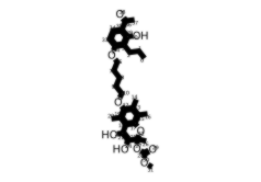 CCCc1c(OCCCCCOc2c(C)c(C)c3c(c2C)C(O)=C(O)C(C)(OC(=O)OC)O3)ccc(C(C)=O)c1O